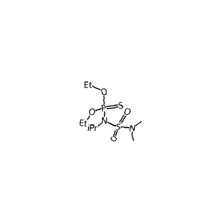 CCOP(=S)(OCC)N(C(C)C)S(=O)(=O)N(C)C